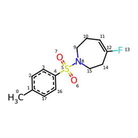 Cc1ccc(S(=O)(=O)N2CCC=C(F)CC2)cc1